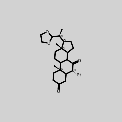 CC[C@H]1C(=O)C2C(CC[C@@]3(C)C2CC[C@@H]3[C@H](C)C2OCCO2)[C@@]2(C)CCC(=O)CC12